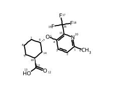 Cc1ccc(O[C@H]2CCC[C@H](C(=O)O)C2)c(C(F)(F)F)n1